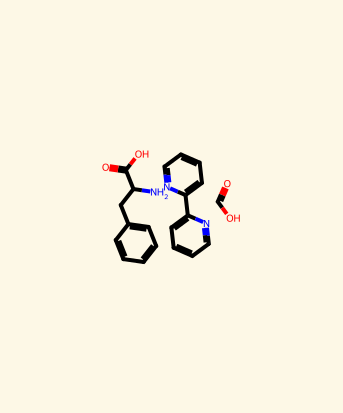 NC(Cc1ccccc1)C(=O)O.O=CO.c1ccc(-c2ccccn2)nc1